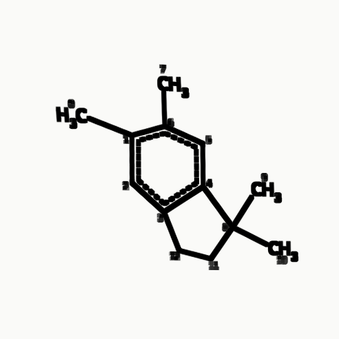 Cc1cc2c(cc1C)C(C)(C)CC2